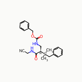 C[Si](C)(Cc1ccccc1)[C@H](CNC(=O)OCc1ccccc1)C(=O)NCC#N